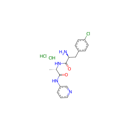 C[C@H](NC(=O)[C@@H](N)Cc1ccc(Cl)cc1)C(=O)Nc1cccnc1.Cl.Cl